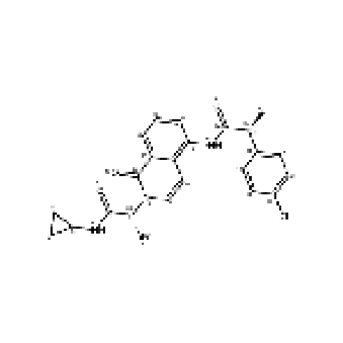 CC(C)[C@H](C(=O)NC1CC1)n1ccc2c(NC(=O)[C@@H](C)c3ccc(Cl)cc3)cccc2c1=O